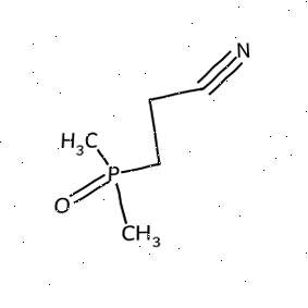 CP(C)(=O)CCC#N